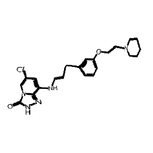 O=c1[nH]nc2c(NCCCc3cccc(OCCN4CCCCC4)c3)cc(Cl)cn12